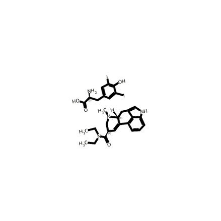 CCN(CC)C(=O)[C@@H]1C=C2c3cccc4[nH]cc(c34)C[C@H]2N(C)C1.N[C@@H](Cc1cc(I)c(O)c(I)c1)C(=O)O